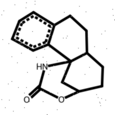 O=C1NC23CC(CCC2CCc2ccccc23)O1